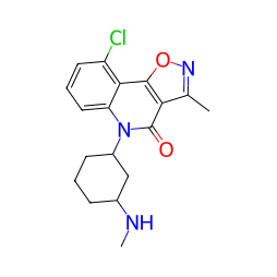 CNC1CCCC(n2c(=O)c3c(C)noc3c3c(Cl)cccc32)C1